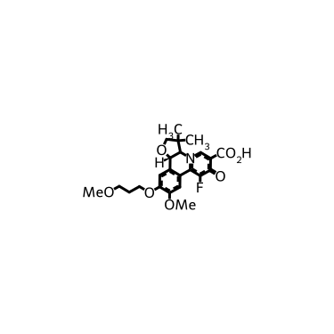 COCCCOc1cc2c(cc1OC)-c1c(F)c(=O)c(C(=O)O)cn1C1[C@H]2OCC1(C)C